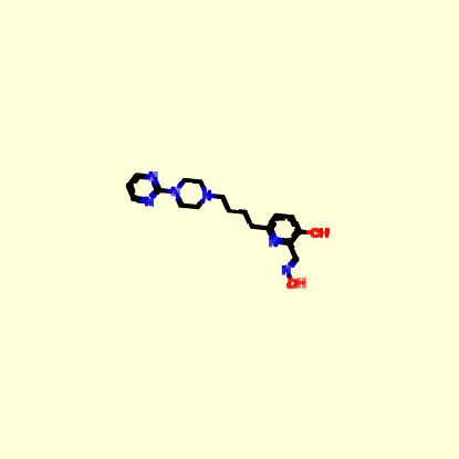 ON=Cc1nc(CCCCN2CCN(c3ncccn3)CC2)ccc1O